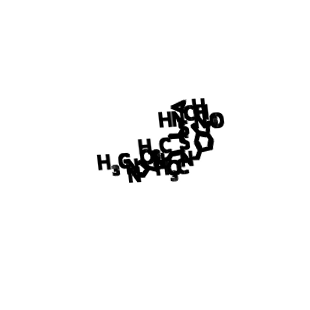 C/C=C(/SNC1(C)CC1)S/C(=C/C(=O)N(C=O)Cc1cnn(C)c1)N(C)Cc1ccc2c(c1)CNC2=O